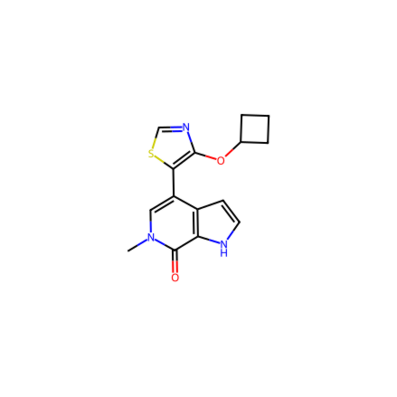 Cn1cc(-c2scnc2OC2CCC2)c2cc[nH]c2c1=O